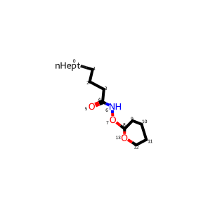 CCCCCCCCCCC(=O)NOC1CCCCO1